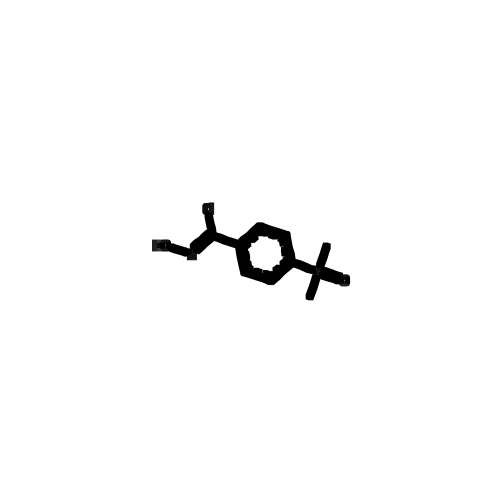 CP(C)(=O)c1ccc(/C(Cl)=N/O)cc1